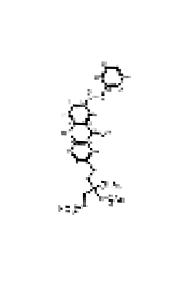 CC(=O)NC(CCC(=O)O)(CCc1ccc2sc3ccc(OCc4ccccc4)cc3c(=O)c2c1)COC(C)=O